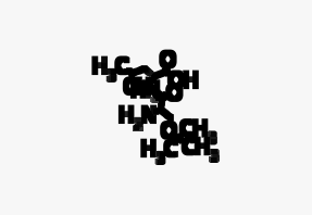 CC(C)C[C@H](NC(=O)[C@H](N)COC(C)(C)C)C(=O)O